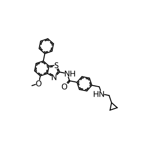 COc1ccc(-c2ccccc2)c2sc(NC(=O)c3ccc(CNCC4CC4)cc3)nc12